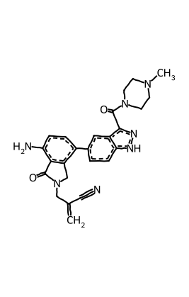 C=C(C#N)CN1Cc2c(-c3ccc4[nH]nc(C(=O)N5CCN(C)CC5)c4c3)ccc(N)c2C1=O